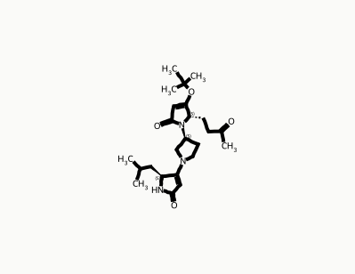 CC(=O)CC[C@H]1C(OC(C)(C)C)=CC(=O)N1[C@H]1CCN(C2=CC(=O)N[C@H]2CC(C)C)C1